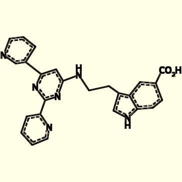 O=C(O)c1ccc2[nH]cc(CCNc3cc(-c4cccnc4)nc(-c4ccccn4)n3)c2c1